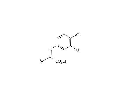 CCOC(=O)/C(=C\c1ccc(Cl)c(Cl)c1)C(C)=O